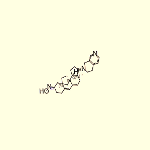 C[C@]12CC=C3C=C4CC/C(=N\O)C[C@]45CC[C@]3(C5)[C@@H]1CC[C@@H]2N1CCc2ccncc2C1